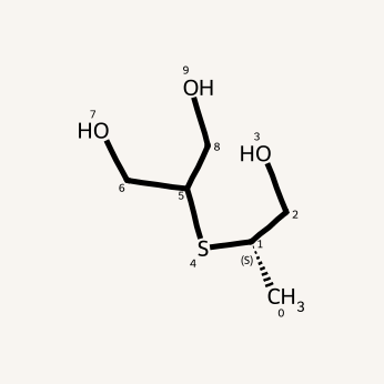 C[C@@H](CO)SC(CO)CO